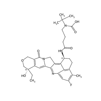 CC[C@@]1(O)COCc2c1cc1n(c2=O)Cc2c-1nc1cc(F)c(C)c3c1c2[C@@H](NC(=O)CCCN(C(=O)O)C(C)(C)C)CC3